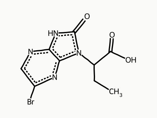 CCC(C(=O)O)n1c(=O)[nH]c2ncc(Br)nc21